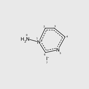 N[n+]1cccnc1.[I-]